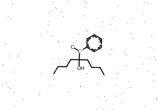 [CH2-][C+](c1ccccc1)C(O)(CCCC)CCCC